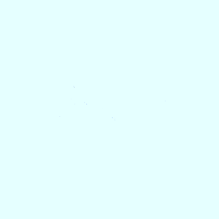 CCC1CCCC(CCNCCNC23CC4CC(CC(C4)C2)C3)C1